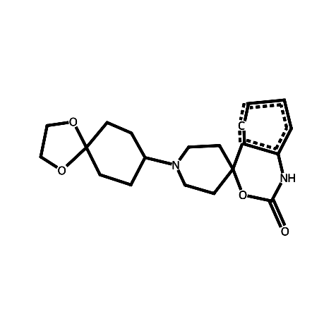 O=C1Nc2ccccc2C2(CCN(C3CCC4(CC3)OCCO4)CC2)O1